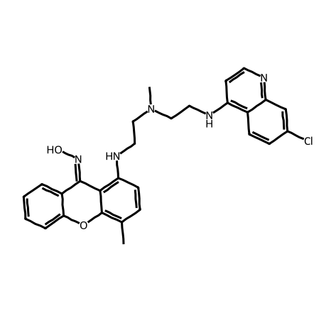 Cc1ccc(NCCN(C)CCNc2ccnc3cc(Cl)ccc23)c2c(=NO)c3ccccc3oc12